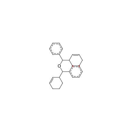 C1=CC(C(OC(c2ccccc2)C2C=CCCC2)c2ccccc2)CCC1